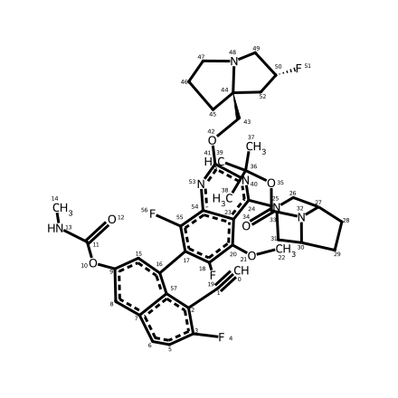 C#Cc1c(F)ccc2cc(OC(=O)NC)cc(-c3c(F)c(OC)c4c(N5CC6CCC(C5)N6C(=O)OC(C)(C)C)nc(OC[C@@]56CCCN5C[C@H](F)C6)nc4c3F)c12